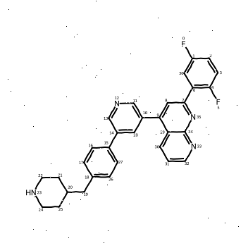 Fc1ccc(F)c(-c2cc(-c3cncc(-c4ccc(CC5CCNCC5)cc4)c3)c3cccnc3n2)c1